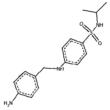 CC(C)NS(=O)(=O)c1ccc(NCc2ccc(N)cc2)cc1